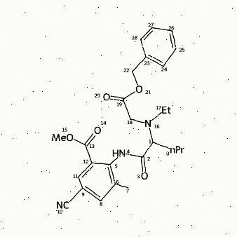 CCCC(C(=O)Nc1c(C)cc(C#N)cc1C(=O)OC)N(CC)CC(=O)OCc1ccccc1